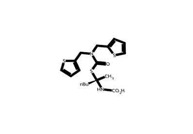 CCCC[C@@](C)(NC(=O)O)SC(=O)N(Cc1cccs1)Cc1cccs1